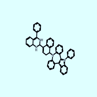 C1=CC2=C(c3ccccc3)NC(C3=CCC(N4c5ccccc5-c5c(n(-c6ccccc6)c6ccccc56)-c5ccccc54)c4ccccc43)NC2C=C1